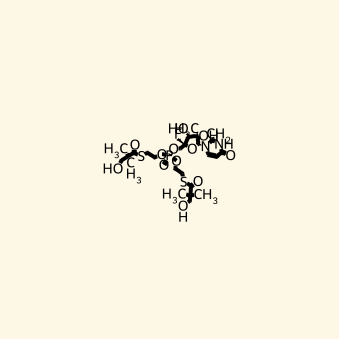 C=C1NC(=O)C=CN1[C@@H]1O[C@](CF)(COP(=O)(OCCSC(=O)C(C)(C)CO)OCCSC(=O)C(C)(C)CO)[C@@H](O)[C@@]1(C)O